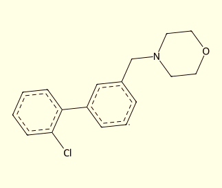 Clc1ccccc1-c1c[c]cc(CN2CCOCC2)c1